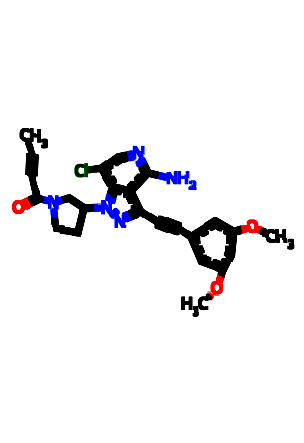 CC#CC(=O)N1CCC(n2nc(C#Cc3cc(OC)cc(OC)c3)c3c(N)ncc(Cl)c32)C1